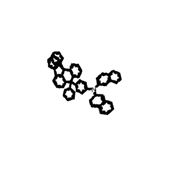 C1=c2ccccc2=CC(N(c2ccc(C3(c4ccccc4)c4ccccc4C4(c5ccccc5)c5ccccc5-c5cccc3c54)cc2)c2ccc3ccccc3c2)C1